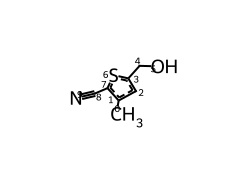 Cc1cc(CO)sc1C#N